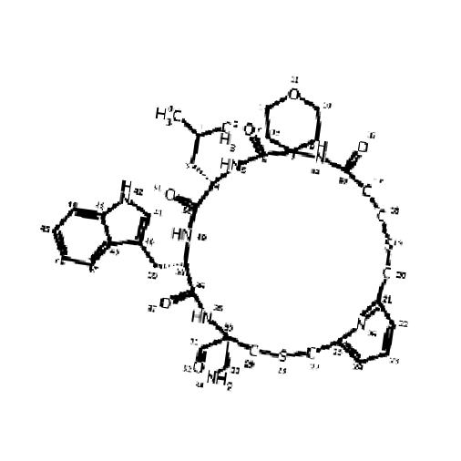 CC(C)C[C@@H]1NC(=O)C2(CCOCC2)NC(=O)CCSCc2cccc(n2)CSC[C@@](C=O)(CN)NC(=O)[C@H](Cc2c[nH]c3ccccc23)NC1=O